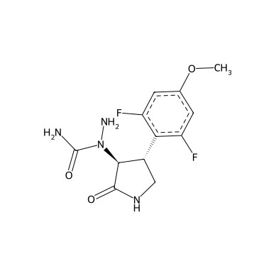 COc1cc(F)c([C@@H]2CNC(=O)[C@H]2N(N)C(N)=O)c(F)c1